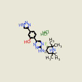 CC1(C)C[C@H](Nc2ncc(-c3ccc(-c4c[nH]nn4)cc3O)nn2)[C@H](F)C(C)(C)N1.Cl.Cl